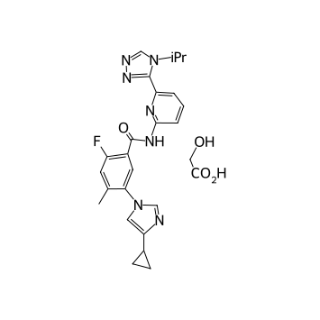 Cc1cc(F)c(C(=O)Nc2cccc(-c3nncn3C(C)C)n2)cc1-n1cnc(C2CC2)c1.O=C(O)CO